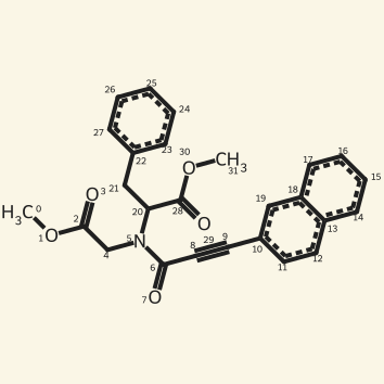 COC(=O)CN(C(=O)C#Cc1ccc2ccccc2c1)C(Cc1ccccc1)C(=O)OC